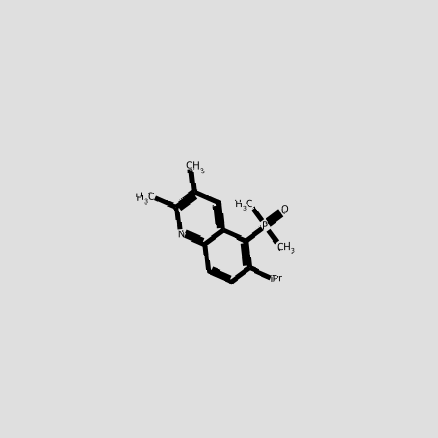 Cc1cc2c(P(C)(C)=O)c(C(C)C)ccc2nc1C